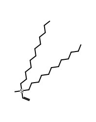 C=C[Si](C)(CCCCCCCCCCCC)CCCCCCCCCCCC